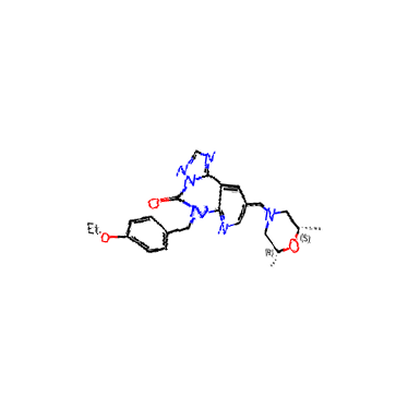 CCOc1ccc(Cn2c(=O)n3ncnc3c3cc(CN4C[C@@H](C)O[C@@H](C)C4)cnc32)cc1